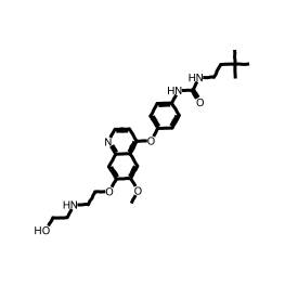 COc1cc2c(Oc3ccc(NC(=O)NCCC(C)(C)C)cc3)ccnc2cc1OCCNCCO